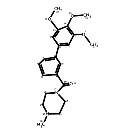 COc1cc(-c2cccc(C(=O)N3CCN(C)CC3)c2)cc(OC)c1OC